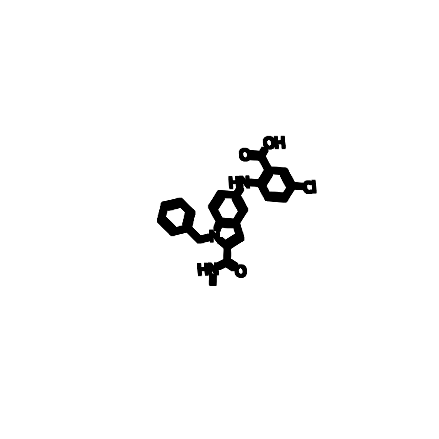 CNC(=O)c1cc2cc(Nc3ccc(Cl)cc3C(=O)O)ccc2n1Cc1ccccc1